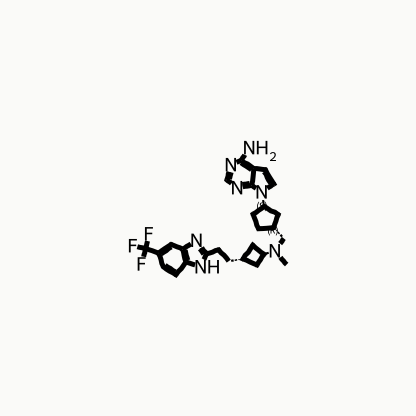 CN(C[C@@H]1CC[C@H](n2ccc3c(N)ncnc32)C1)[C@H]1C[C@@H](CCc2nc3cc(C(F)(F)F)ccc3[nH]2)C1